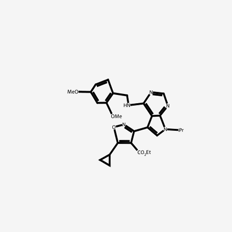 CCOC(=O)c1c(-c2cn(C(C)C)c3ncnc(NCc4ccc(OC)cc4OC)c23)noc1C1CC1